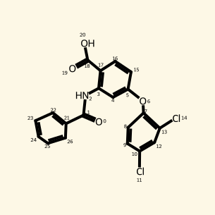 O=C(Nc1cc(Oc2ccc(Cl)cc2Cl)ccc1C(=O)O)c1ccccc1